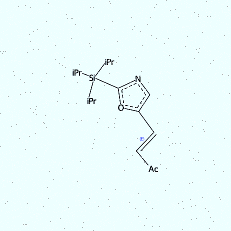 CC(=O)/C=C/c1cnc([Si](C(C)C)(C(C)C)C(C)C)o1